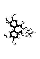 COc1cc2c(=O)n(OS(=O)(=O)C(F)(F)F)c(=O)c3cc(OC)c(OC)cc3c2cc1OC